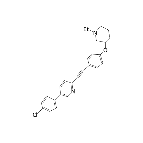 CCN1CCCC(Oc2ccc(C#Cc3ccc(-c4ccc(Cl)cc4)cn3)cc2)C1